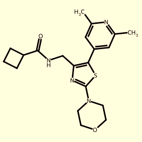 Cc1cc(-c2sc(N3CCOCC3)nc2CNC(=O)C2CCC2)cc(C)n1